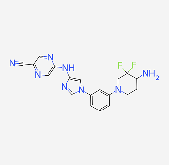 N#Cc1cnc(Nc2cn(-c3cccc(N4CCC(N)C(F)(F)C4)c3)cn2)cn1